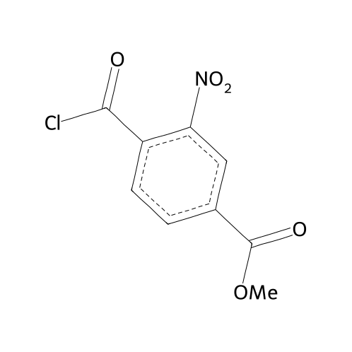 COC(=O)c1ccc(C(=O)Cl)c([N+](=O)[O-])c1